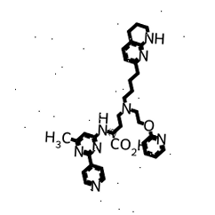 Cc1cc(N[C@@H](CCN(CCCCc2ccc3c(n2)NCCC3)CCOc2ccccn2)C(=O)O)nc(-c2ccncc2)n1